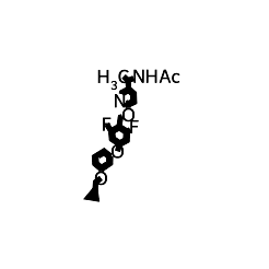 CC(=O)NC(C)c1ccc(OCc2c(F)cc(Oc3cccc(OCC4CC4)c3)cc2F)nc1